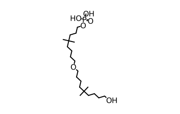 CC(C)(CCCCO)CCCCOCCCCC(C)(C)CCCOP(=O)(O)O